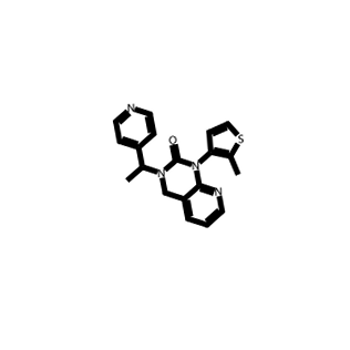 Cc1sccc1N1C(=O)N(C(C)c2ccncc2)Cc2cccnc21